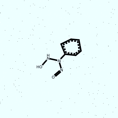 O=[N][Al]([NH]O)[c]1ccccc1